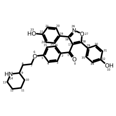 O=C(c1ccc(OCCC2CCCCN2)cc1)c1c(-c2ccc(O)cc2)noc1-c1ccc(O)cc1